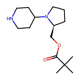 CC(C)(C)C(=O)OC[C@@H]1CCCN1C1CCNCC1